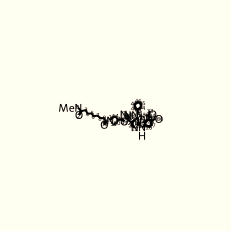 CNC(=O)CCCCCCCC(=O)N1CCC(c2nnc(-c3cnc(Nc4ccc5c(c4)C(C)(C)OC5=O)nc3N[C@H](CO)c3ccccc3)o2)CC1